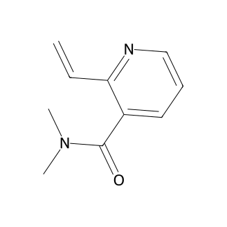 C=Cc1ncccc1C(=O)N(C)C